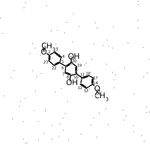 COc1ccc(-c2cc(O)c(-c3ccc(OC)cc3)cc2O)cc1